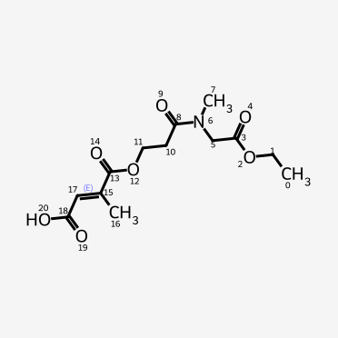 CCOC(=O)CN(C)C(=O)CCOC(=O)/C(C)=C/C(=O)O